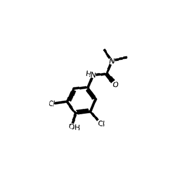 CN(C)C(=O)Nc1cc(Cl)c(O)c(Cl)c1